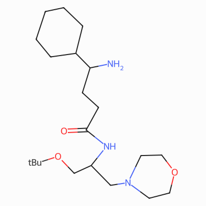 CC(C)(C)OCC(CN1CCOCC1)NC(=O)CCC(N)C1CCCCC1